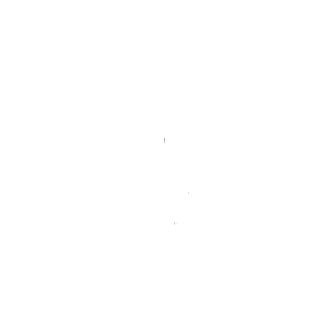 CC(C)(C)C(F)(OC(F)(F)F)C(C)(C)C